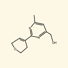 Cc1cc(CO)nc(C2=CCOCC2)n1